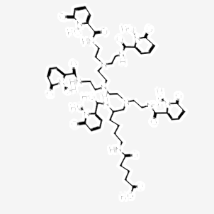 O=C(O)CCCC(=O)NCCCCC(CN(CCNC(=O)c1cccc(=O)n1O)CCN(CCNC(=O)c1cccc(=O)n1O)CCN(CCNC(=O)c1cccc(=O)n1O)CCNC(=O)c1cccc(=O)n1O)NC(O)c1cccc(=O)n1O